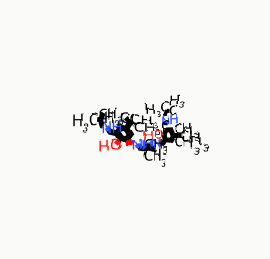 CC(C)CNCc1cc(C(C)(C)C)cc(CNCC(C)(C)CNCc2cc(C(C)(C)C)cc(CNCC(C)C)c2O)c1O